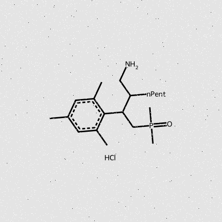 CCCCCC(CN)C(CP(C)(C)=O)c1c(C)cc(C)cc1C.Cl